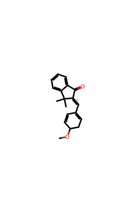 COC1C=CC(/C=C2/C(=O)c3ccccc3C2(C)C)=CC1